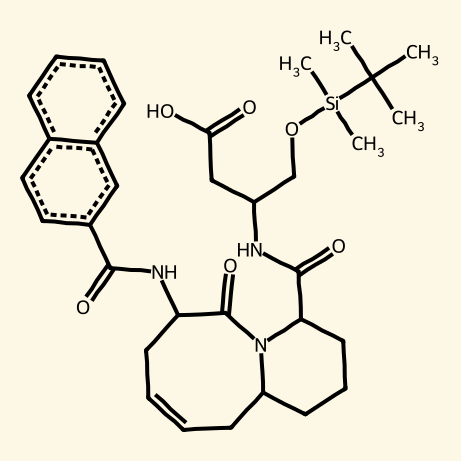 CC(C)(C)[Si](C)(C)OCC(CC(=O)O)NC(=O)C1CCCC2CC=CCC(NC(=O)c3ccc4ccccc4c3)C(=O)N21